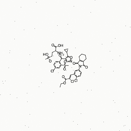 CCOC(=O)/C(Cl)=C/c1cc(N2C(=O)C3=C(CCCC3)C2=O)ccc1Cl.CP(=O)(O)CCC(N)C(=O)O.CS(=O)(=O)c1cc(Cl)ccc1C(=O)c1cnoc1C1CC1